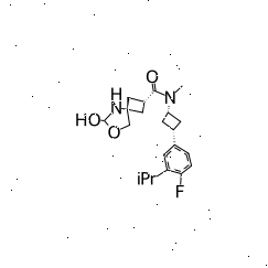 CC(C)c1cc([C@H]2C[C@@H](N(C)C(=O)[C@H]3C[C@]4(COC(O)N4)C3)C2)ccc1F